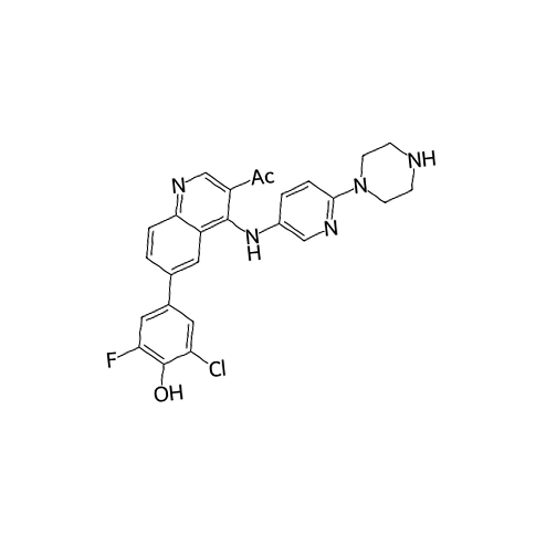 CC(=O)c1cnc2ccc(-c3cc(F)c(O)c(Cl)c3)cc2c1Nc1ccc(N2CCNCC2)nc1